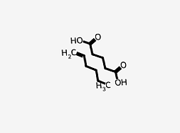 C=CCCCC.O=C(O)CCCC(=O)O